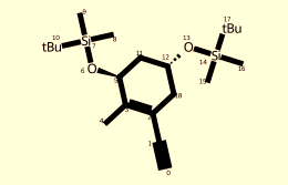 C#CC1=C(C)[C@@H](O[Si](C)(C)C(C)(C)C)C[C@H](O[Si](C)(C)C(C)(C)C)C1